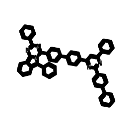 c1ccc(-c2ccc(-c3nc(-c4ccccc4)cc(-c4ccc(-c5ccc(-c6nc(-c7ccccc7)nc7c8ccccc8c(-c8ccccc8)n67)cc5)cc4)n3)cc2)cc1